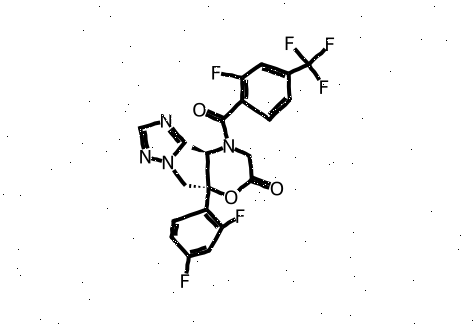 C[C@H]1N(C(=O)c2ccc(C(F)(F)F)cc2F)CC(=O)O[C@@]1(Cn1cncn1)c1ccc(F)cc1F